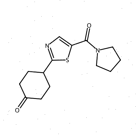 O=C1CCC(c2ncc(C(=O)N3CCCC3)s2)CC1